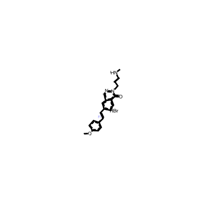 Br.CNCCCn1ncc2cc(/C=C/c3ccc(OC)cc3)ccc2c1=O